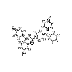 CN1CCN(C(c2ccccc2)C2CCN(C(=O)CC(c3ccc(F)cc3)c3ccc(F)cc3)CC2)CC1